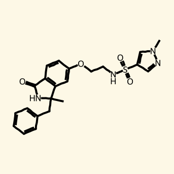 Cn1cc(S(=O)(=O)NCCOc2ccc3c(c2)C(C)(Cc2ccccc2)NC3=O)cn1